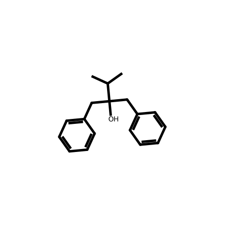 CC(C)C(O)(Cc1ccccc1)Cc1ccccc1